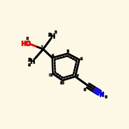 [2H]C([2H])(O)c1ccc(C#N)cc1